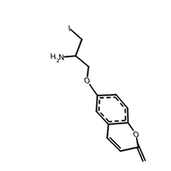 C=C1C=Cc2cc(OCC(N)CI)ccc2O1